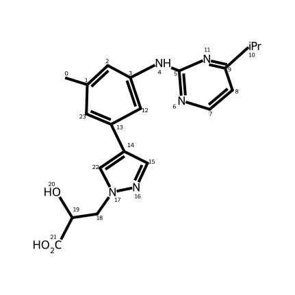 Cc1cc(Nc2nccc(C(C)C)n2)cc(-c2cnn(CC(O)C(=O)O)c2)c1